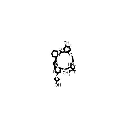 Cc1ccc2c(c1)C(=O)N1CCCCC1c1cc3nc(N4CC(O)C4)cc(n3n1)N(C)CC(C(F)(F)F)NCCO2